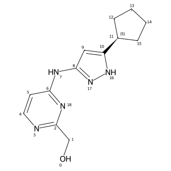 OCc1nccc(Nc2cc([C@H]3C[CH]CC3)[nH]n2)n1